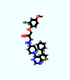 COc1ccc(OCC(O)CNC2CCN(c3ncnc4scc(-c5ccccc5)c34)CC2)c(F)c1